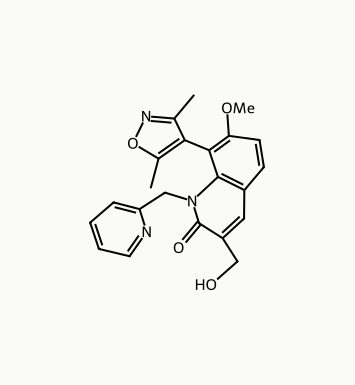 COc1ccc2cc(CO)c(=O)n(Cc3ccccn3)c2c1-c1c(C)noc1C